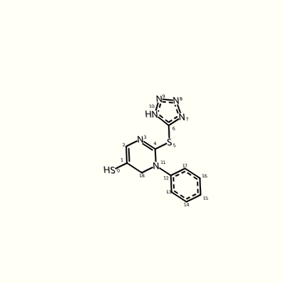 SC1=CN=C(Sc2nnn[nH]2)N(c2ccccc2)C1